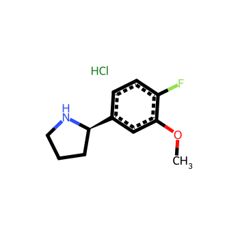 COc1cc([C@H]2CCCN2)ccc1F.Cl